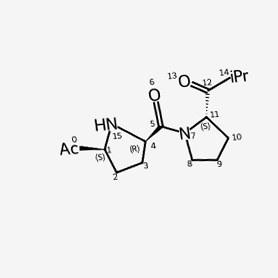 CC(=O)[C@@H]1CC[C@H](C(=O)N2CCC[C@H]2C(=O)C(C)C)N1